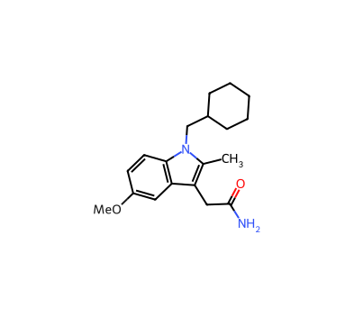 COc1ccc2c(c1)c(CC(N)=O)c(C)n2CC1CCCCC1